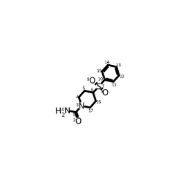 NC(=O)N1CCC(S(=O)(=O)c2ccccc2)CC1